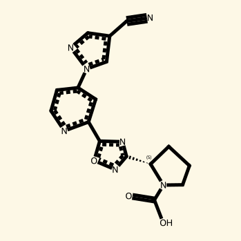 N#Cc1cnn(-c2ccnc(-c3nc([C@@H]4CCCN4C(=O)O)no3)c2)c1